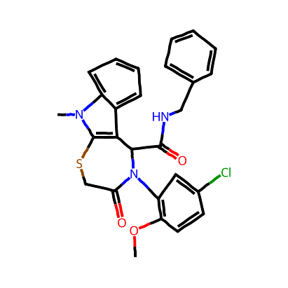 COc1ccc(Cl)cc1N1C(=O)CSc2c(c3ccccc3n2C)C1C(=O)NCc1ccccc1